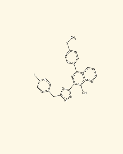 CSc1ccc(-c2nc(-c3nnc(Cc4ccc(F)cc4)o3)c(O)c3ncccc23)cc1